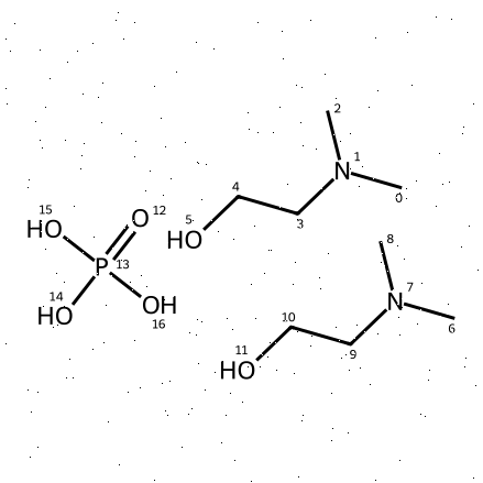 CN(C)CCO.CN(C)CCO.O=P(O)(O)O